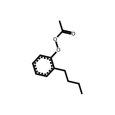 CCCCc1ccccc1OOC(C)=O